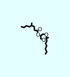 CCCCCCC1(C)OCC(OC(=O)CCC(C)CCCC)CO1